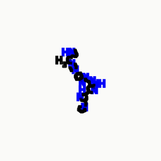 C1CCNC1.CN1CCN(c2ccc3[nH]c(-c4n[nH]c5ncc(-c6cncc(CN7CCCC7)c6)cc45)nc3c2)CC1